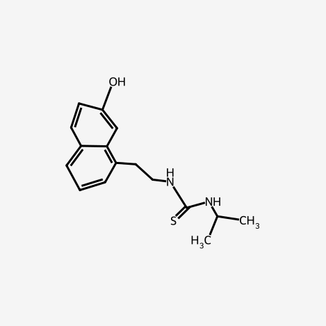 CC(C)NC(=S)NCCc1cccc2ccc(O)cc12